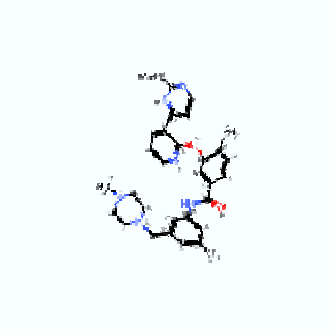 CNc1nccc(-c2cccnc2Oc2cc(C(=O)Nc3cc(CN4CCN(C)CC4)cc(C(F)(F)F)c3)ccc2C)n1